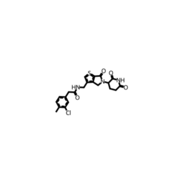 Cc1ccc(CC(=O)NCc2csc3c2CN(C2CCC(=O)NC2=O)C3=O)cc1Cl